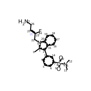 Cc1c(-c2cccc(S(=O)(=O)N(C)C)c2)c2ccccc2n1C/C(F)=C/CN